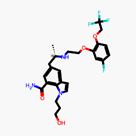 C[C@@H](Cc1cc(C(N)=O)c2c(ccn2CCCO)c1)NCCOc1cc(F)ccc1OCC(F)(F)F